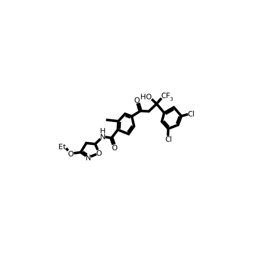 CCOC1=NOC(NC(=O)c2ccc(C(=O)CC(O)(c3cc(Cl)cc(Cl)c3)C(F)(F)F)cc2C)C1